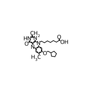 C=c1nc2c(c(=O)[nH]1)=Nc1cc(C)c(OCC3CCCC3)cc1N2CCCCCCC(=O)O